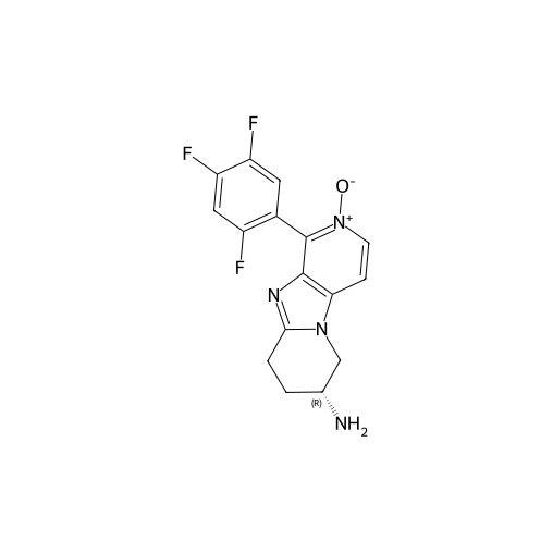 N[C@@H]1CCc2nc3c(-c4cc(F)c(F)cc4F)[n+]([O-])ccc3n2C1